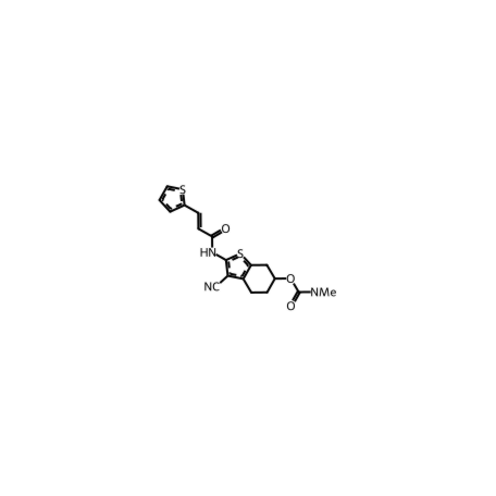 CNC(=O)OC1CCc2c(sc(NC(=O)C=Cc3cccs3)c2C#N)C1